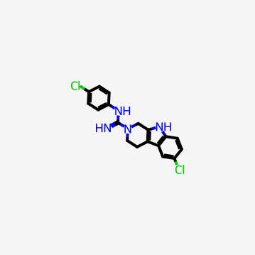 N=C(Nc1ccc(Cl)cc1)N1CCc2c([nH]c3ccc(Cl)cc23)C1